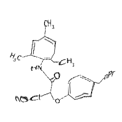 CCCCCCCCC(Oc1ccc(CCC)cc1)C(=O)Nc1c(C)cc(C)cc1C